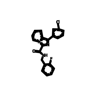 O=C(NCc1ccccc1F)c1nc(-c2cccc(Cl)c2)c2ccccn12